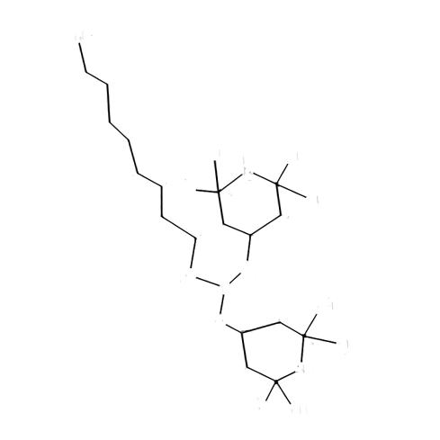 CCCCCCCCCCCCCCCCCCOP(OC1CC(C)(C)NC(C)(C)C1)OC1CC(C)(C)NC(C)(C)C1